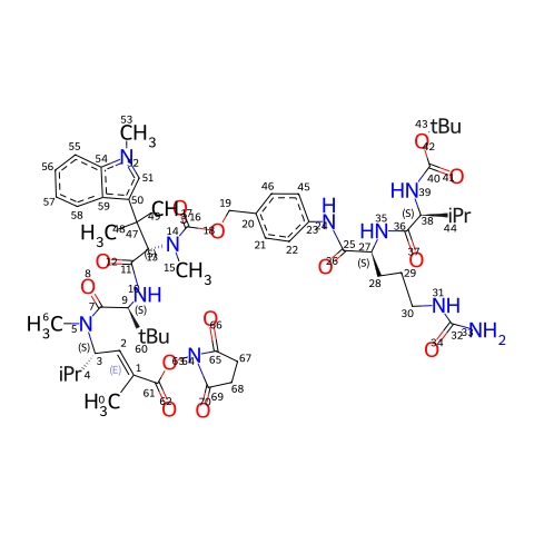 C/C(=C\[C@H](C(C)C)N(C)C(=O)[C@@H](NC(=O)[C@@H](N(C)C(=O)OCc1ccc(NC(=O)[C@H](CCCNC(N)=O)NC(=O)[C@@H](NC(=O)OC(C)(C)C)C(C)C)cc1)C(C)(C)c1cn(C)c2ccccc12)C(C)(C)C)C(=O)ON1C(=O)CCC1=O